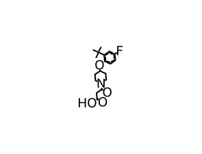 CC(C)(C)c1cc(F)ccc1OC1CCN(C(=O)CC(=O)O)CC1